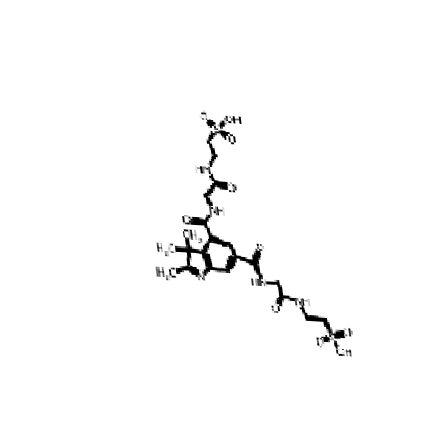 CC1=Nc2cc(C(=O)NCC(=O)NCCS(=O)(=O)O)cc(C(=O)NCC(=O)NCCS(=O)(=O)O)c2C1(C)C